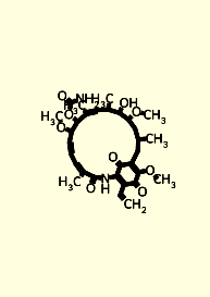 C=CC1=C2NC(=O)C(C)=CC=CC(OC)C(OC(N)=O)C(C)=CC(C)C(O)C(OC)CC(C)CC(=C(OC)C1=O)C2=O